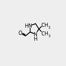 CC1(C)CNC(C=O)N1